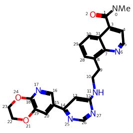 CNC(=O)c1ccnc2c(CCNc3cc(-c4cnc5c(c4)OCCO5)ncn3)cccc12